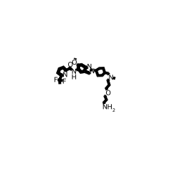 COc1cc2nn(C3CCC(CN(C)CCCOCCCN)CC3)cc2cc1NC(=O)c1cccc(C(C)(F)F)n1